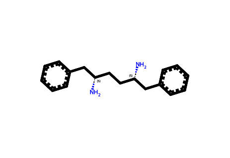 N[C@@H](CC[C@H](N)Cc1ccccc1)Cc1ccccc1